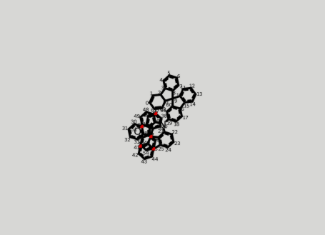 C1=CC2c3ccccc3C3(c4ccccc4-c4ccc(N(c5cccc6c5C(c5ccccc5)(c5ccccc5)c5ccccc5-6)c5cccc6oc7ccccc7c56)cc43)C2C=C1